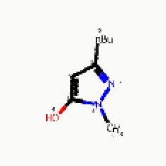 CCCCc1cc(O)n(C)n1